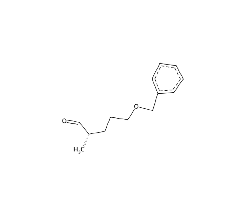 C[C@H](C=O)CCCOCc1ccccc1